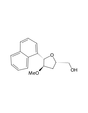 CO[C@@H]1C[C@@H](CO)O[C@H]1c1cccc2ccccc12